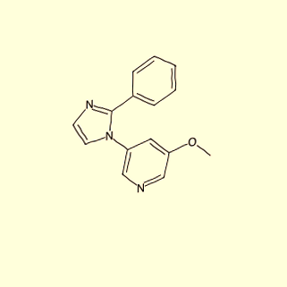 COc1cncc(-n2ccnc2-c2ccccc2)c1